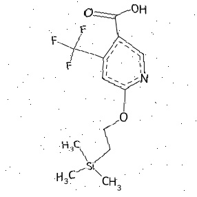 C[Si](C)(C)CCOc1cc(C(F)(F)F)c(C(=O)O)cn1